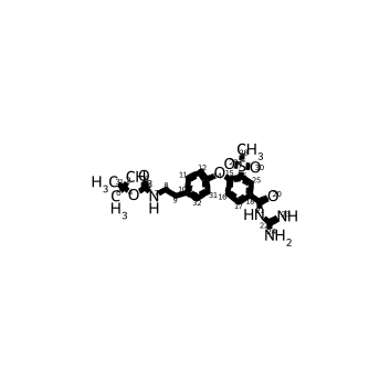 CC(C)(C)OC(=O)NCCc1ccc(Oc2ccc(C(=O)NC(=N)N)cc2S(C)(=O)=O)cc1